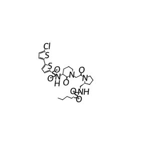 CCCCS(=O)(=O)NC[C@@H]1CCCN1C(=O)CN1CCCC(NS(=O)(=O)c2ccc(-c3ccc(Cl)s3)s2)C1=O